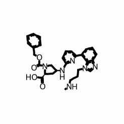 CNCCCn1cnc2cccc(-c3cccc(N[C@H]4C[C@@H](C(=O)O)N(C(=O)OCc5ccccc5)C4)n3)c21